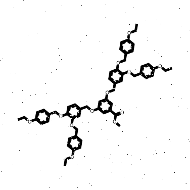 CCOc1ccc(COc2ccc(COc3cc(OCc4ccc(OCc5ccc(OCC)cc5)c(OCc5ccc(OCC)cc5)c4)cc(C(=O)OC)c3)cc2OCc2ccc(OCC)cc2)cc1